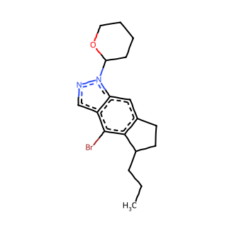 CCCC1CCc2cc3c(cnn3C3CCCCO3)c(Br)c21